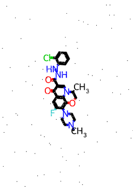 C[C@H]1COc2c(N3CCN(C)CC3)c(F)cc3c(=O)c(C(=O)NNc4ccccc4Cl)cn1c23